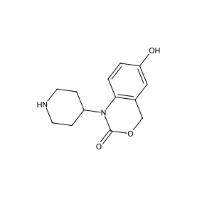 O=C1OCc2cc(O)ccc2N1C1CCNCC1